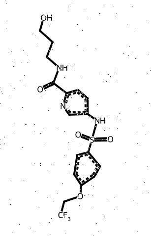 O=C(NCCCO)c1ccc(NS(=O)(=O)c2ccc(OCC(F)(F)F)cc2)cn1